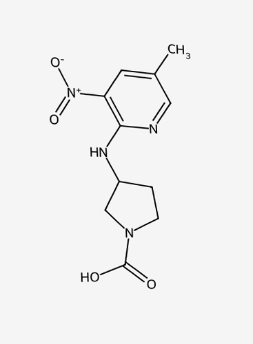 Cc1cnc(NC2CCN(C(=O)O)C2)c([N+](=O)[O-])c1